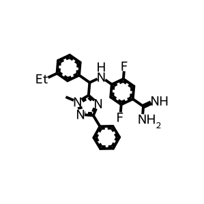 CCc1cccc(C(Nc2cc(F)c(C(=N)N)cc2F)c2nc(-c3ccccc3)nn2C)c1